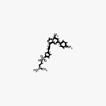 CN(C)CCNS(=O)(=O)c1ccc(C#Cc2ncn3c(C(F)(F)F)cc(-c4ccc(C(F)(F)F)cc4)nc23)s1